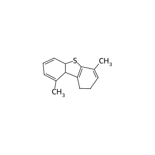 CC1=CCCC2=C1SC1C=CC=C(C)C21